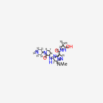 CNc1cc(Nc2cccn(C3CCN(C)CC3)c2=O)nc2c(C(=O)NCC3(CO)CC3)cnn12